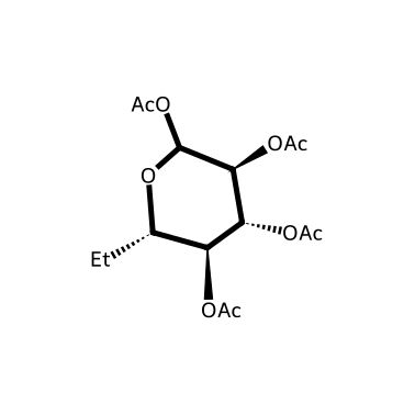 CC[C@@H]1OC(OC(C)=O)[C@@H](OC(C)=O)[C@H](OC(C)=O)[C@H]1OC(C)=O